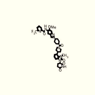 COc1cc2nn([C@H]3CC[C@H](C(=O)N4CCC(c5cccc6c5n(C)c(=O)n6C5CCC(=O)NC5=O)CC4)CC3)cc2cc1NC(=O)c1cccc(C(F)(F)F)n1